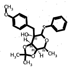 COc1ccc(C[C@@]2(O)C(Sc3ccccc3)O[C@@H](C)[C@H]3OC(C)(C)O[C@H]32)cc1